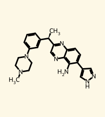 C[C@H](c1cccc(N2CCN(C)CC2)c1)c1cnc2c(N)c(-c3cn[nH]c3)ccc2n1